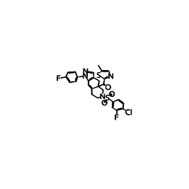 Cc1cnc(C(=O)C23Cc4cnn(-c5ccc(F)cc5)c4C=C2CCN(S(=O)(=O)c2ccc(Cl)c(F)c2)C3)s1